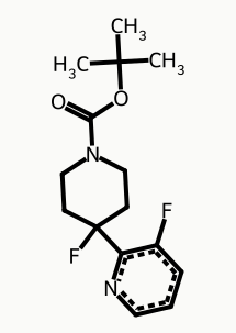 CC(C)(C)OC(=O)N1CCC(F)(c2ncccc2F)CC1